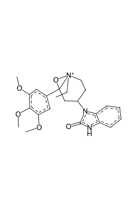 CC[N+]12CCC(n3c(=O)[nH]c4ccccc43)CC1(c1cc(OC)c(OC)c(OC)c1)O2